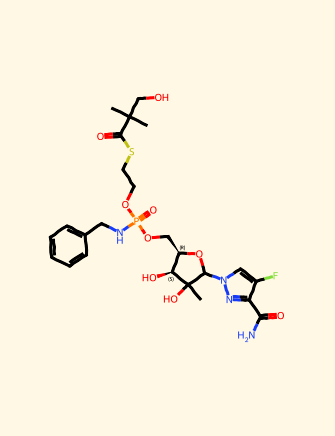 CC(C)(CO)C(=O)SCCOP(=O)(NCc1ccccc1)OC[C@H]1OC(n2cc(F)c(C(N)=O)n2)C(C)(O)[C@H]1O